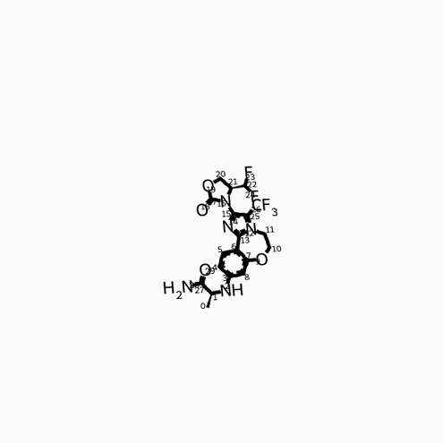 C[C@H](Nc1ccc2c(c1)OCCn1c-2nc(N2C(=O)OC[C@H]2C(F)F)c1C(F)(F)F)C(N)=O